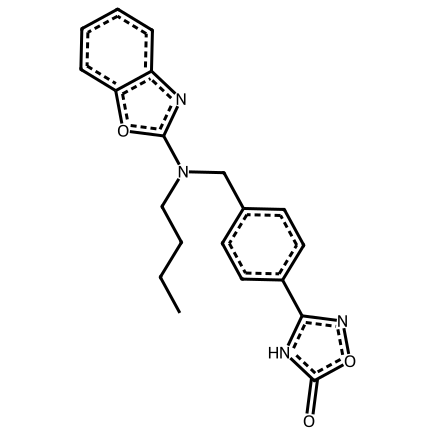 CCCCN(Cc1ccc(-c2noc(=O)[nH]2)cc1)c1nc2ccccc2o1